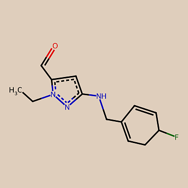 CCn1nc(NCC2=CCC(F)C=C2)cc1C=O